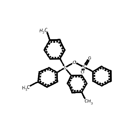 Cc1ccc(S(OS(=O)(=O)c2ccccc2)(c2ccc(C)cc2)c2ccc(C)cc2)cc1